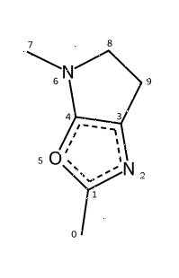 Cc1nc2c(o1)N(C)CC2